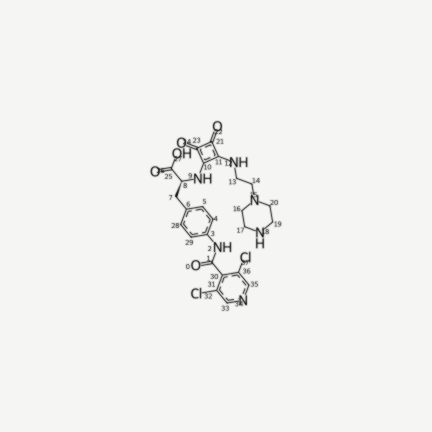 O=C(Nc1ccc(C[C@H](Nc2c(NCCN3CCNCC3)c(=O)c2=O)C(=O)O)cc1)c1c(Cl)cncc1Cl